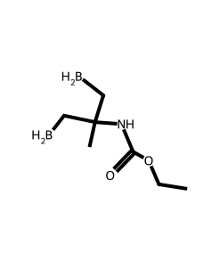 BCC(C)(CB)NC(=O)OCC